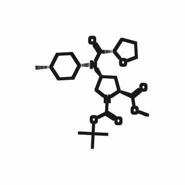 COC(=O)[C@@H]1C[C@H](N(C(=O)[C@@H]2CCCO2)[C@H]2CC[C@@H](C)CC2)CN1C(=O)OC(C)(C)C